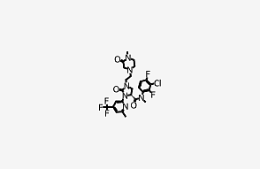 Cc1cc(C(F)(F)F)cc(N2C(=O)N(CCN3CCN(C)C(=O)C3)C[C@H]2C(=O)N(C)c2ccc(F)c(Cl)c2F)n1